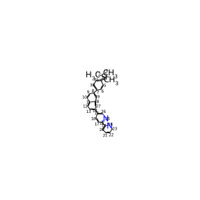 C[Si](C)(C)c1ccc(-c2ccc3ccc(-c4ccc(-c5ccccn5)nc4)cc3c2)cc1